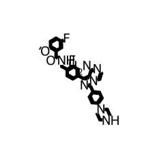 COc1ccc(F)cc1C(=O)NCc1ccc(-c2nc(-c3ccc(N4CCNCC4)cc3)n3ccnc(N)c23)cc1F